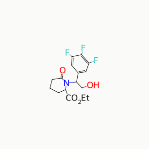 CCOC(=O)C1CCCC(=O)N1C(CO)c1cc(F)c(F)c(F)c1